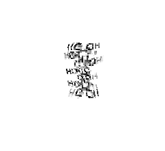 C[C@@H]1O[C@@H](O[C@H]2[C@H](O)[C@@H](O[C@@H]3O[C@@H](C)[C@H](O)[C@@H](O)[C@H]3O)C(O)O[C@@H]2CO)[C@H](O)[C@H](O)[C@H]1O